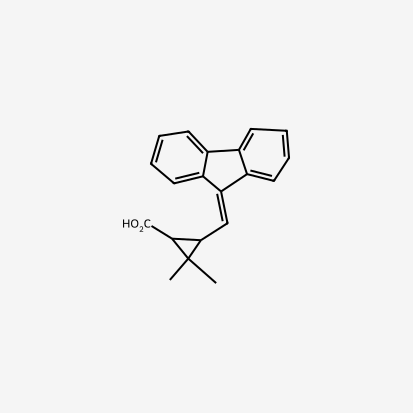 CC1(C)C(C=C2c3ccccc3-c3ccccc32)C1C(=O)O